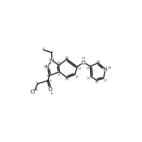 CCn1nc(C(=O)CCl)c2ccc(Oc3cccnc3)cc21